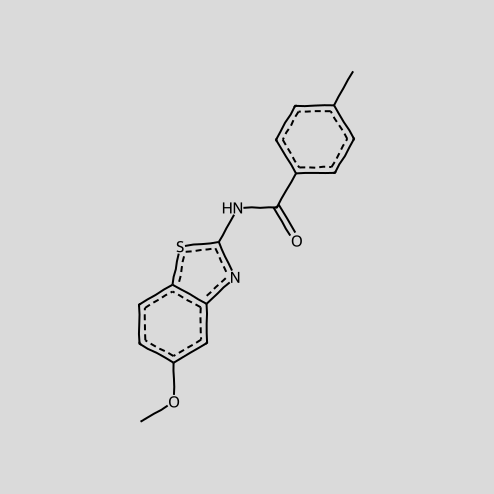 COc1ccc2sc(NC(=O)c3ccc(C)cc3)nc2c1